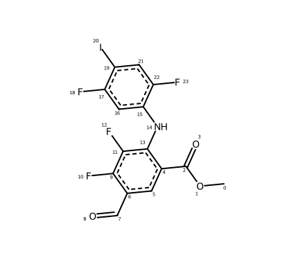 COC(=O)c1cc(C=O)c(F)c(F)c1Nc1cc(F)c(I)cc1F